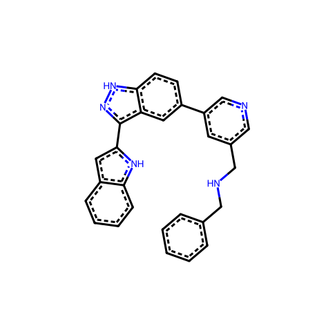 c1ccc(CNCc2cncc(-c3ccc4[nH]nc(-c5cc6ccccc6[nH]5)c4c3)c2)cc1